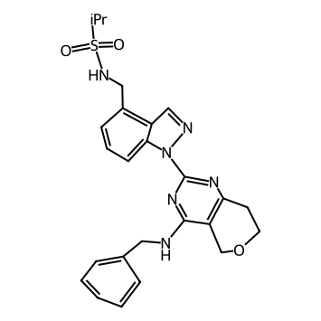 CC(C)S(=O)(=O)NCc1cccc2c1cnn2-c1nc2c(c(NCc3ccccc3)n1)COCC2